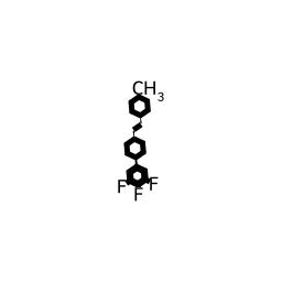 C[C@H]1CC[C@H](CC[C@H]2CC[C@H](c3cc(F)c(F)c(F)c3)CC2)CC1